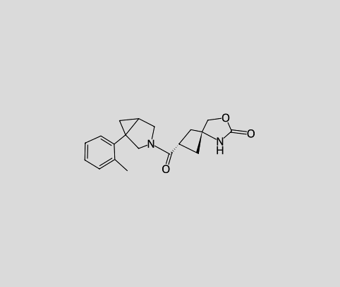 Cc1ccccc1C12CC1CN(C(=O)[C@H]1C[C@]3(COC(=O)N3)C1)C2